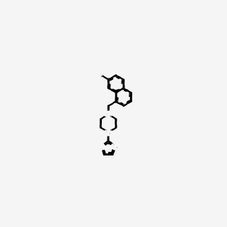 Clc1ccc2cccc(CN3CCN(c4nccs4)CC3)c2c1